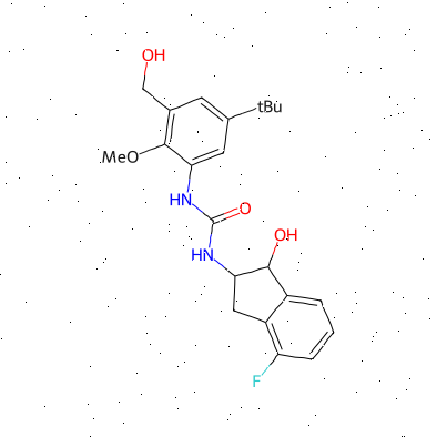 COc1c(CO)cc(C(C)(C)C)cc1NC(=O)NC1Cc2c(F)cccc2C1O